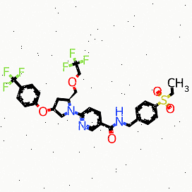 CCS(=O)(=O)c1ccc(CNC(=O)c2ccc(N3CC(Oc4ccc(C(F)(F)F)cc4)C[C@H]3COCC(F)(F)F)nc2)cc1